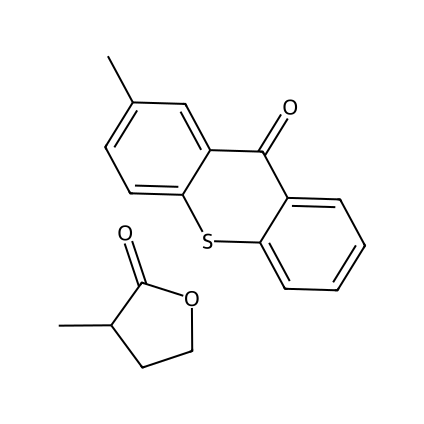 CC1CCOC1=O.Cc1ccc2sc3ccccc3c(=O)c2c1